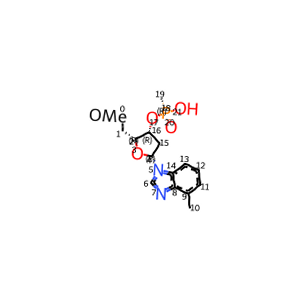 COC[C@H]1O[C@@H](n2cnc3c(C)cccc32)C[C@H]1O[P@](C)(=O)O